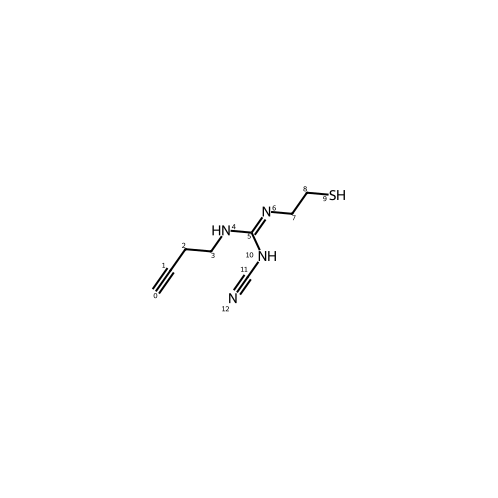 C#CCCN/C(=N/CCS)NC#N